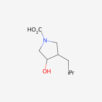 CC(C)CC1CN(C(=O)O)CC1O